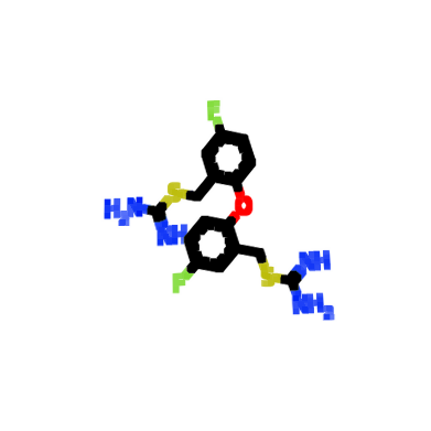 N=C(N)SCc1cc(F)ccc1Oc1ccc(F)cc1CSC(=N)N